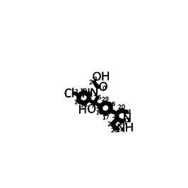 O=C(CO)NCC(O)(c1ccc(Cl)cc1)c1ccc(-c2ccnc3[nH]ccc23)cc1